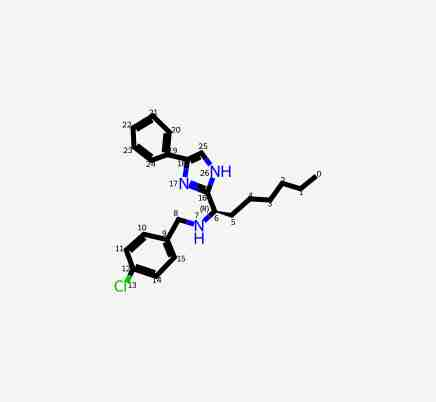 CCCCCC[C@@H](NCc1ccc(Cl)cc1)c1nc(-c2ccccc2)c[nH]1